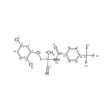 CC(C#N)(COc1cc(Cl)ccc1Cl)NC(=O)c1ccc(C(F)(F)F)cc1